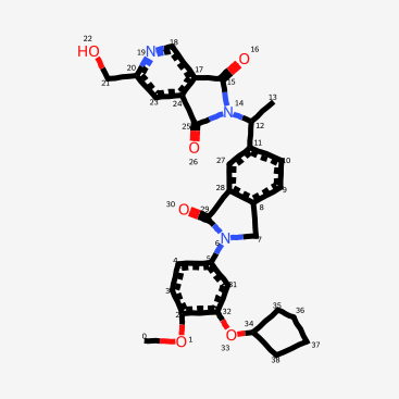 COc1ccc(N2Cc3ccc(C(C)N4C(=O)c5cnc(CO)cc5C4=O)cc3C2=O)cc1OC1CCCC1